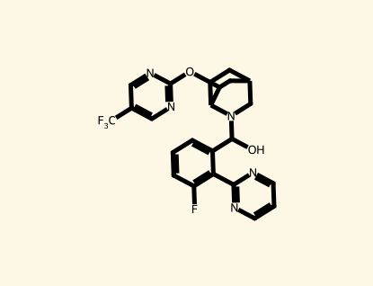 OC(c1cccc(F)c1-c1ncccn1)N1CC2CCC1C(Oc1ncc(C(F)(F)F)cn1)C2